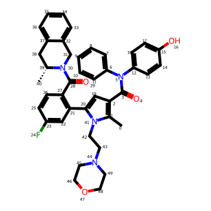 Cc1c(C(=O)N(c2ccccc2)c2ccc(O)cc2)cc(-c2cc(F)ccc2C(=O)N2Cc3ccccc3C[C@H]2C)n1CCN1CCOCC1